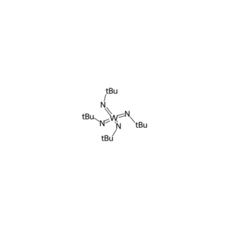 CC(C)(C)[N]=[W](=[N]C(C)(C)C)(=[N]C(C)(C)C)=[N]C(C)(C)C